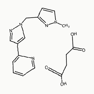 Cn1ccc(Cn2cc(-c3ccccn3)cn2)n1.O=C(O)CCC(=O)O